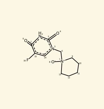 O=c1[nH]c(=O)n(C[N+]2([O-])CCCCC2)cc1F